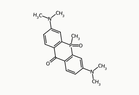 CN(C)c1ccc2c(c1)P(C)(=O)c1cc(N(C)C)ccc1C2=O